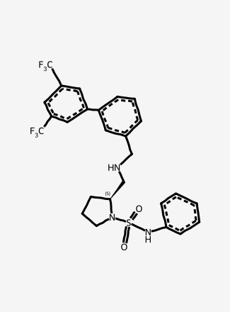 O=S(=O)(Nc1ccccc1)N1CCC[C@H]1CNCc1cccc(-c2cc(C(F)(F)F)cc(C(F)(F)F)c2)c1